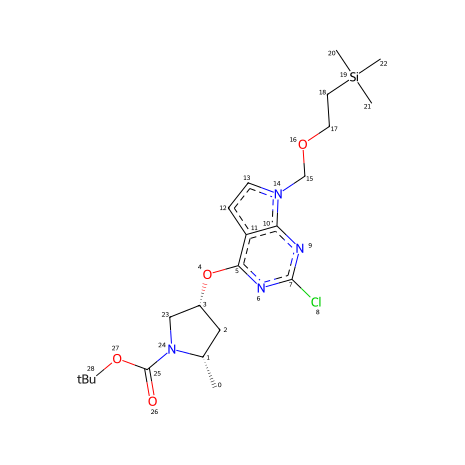 C[C@H]1C[C@@H](Oc2nc(Cl)nc3c2ccn3COCC[Si](C)(C)C)CN1C(=O)OC(C)(C)C